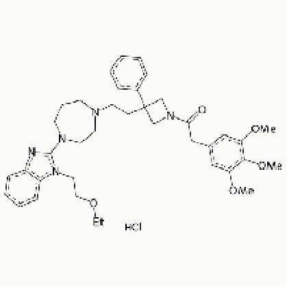 CCOCCn1c(N2CCCN(CCC3(c4ccccc4)CN(C(=O)Cc4cc(OC)c(OC)c(OC)c4)C3)CC2)nc2ccccc21.Cl